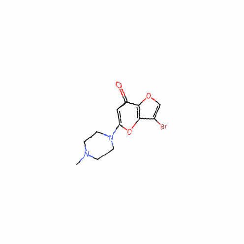 CN1CCN(c2cc(=O)c3occ(Br)c3o2)CC1